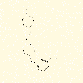 CC(C)Oc1ccc(Br)c(CC2CCN(CC[C@H]3CC[C@H](N)CC3)CC2)c1